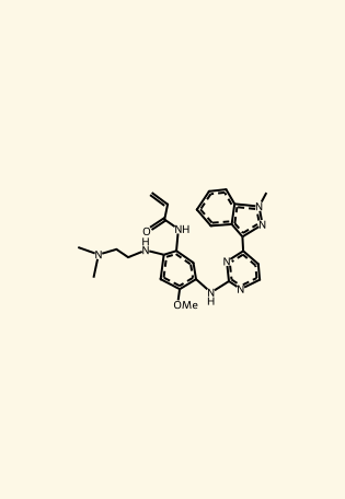 C=CC(=O)Nc1cc(Nc2nccc(-c3nn(C)c4ccccc34)n2)c(OC)cc1NCCN(C)C